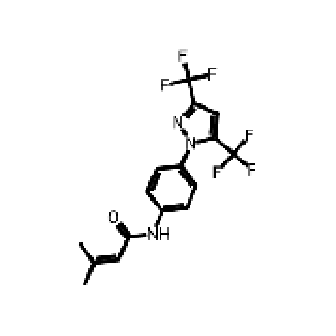 CC(C)=CC(=O)Nc1ccc(-n2nc(C(F)(F)F)cc2C(F)(F)F)cc1